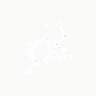 CC1(C)C2CCC1(C)C(OC([O])=O)C2